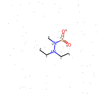 CCN(CC)N(C)[SH](=O)=O